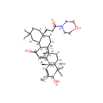 CC1(C)CC[C@]2(CCC(=O)N3CCOCC3)CC[C@]3(C)C(C(=O)C=C4[C@@]5(C)C=C(C#N)C(O)C(C)(C)[C@@H]5CC[C@]43C)C2C1